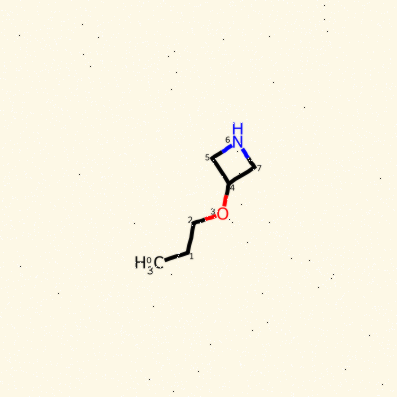 CCCOC1CNC1